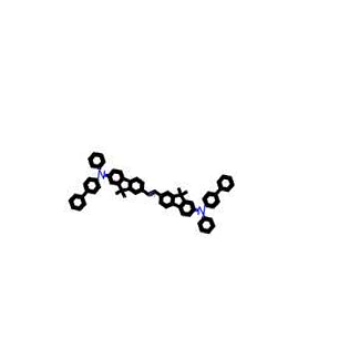 CC1(C)c2cc(/C=C/c3ccc4c(c3)C(C)(C)c3cc(N(c5ccccc5)c5ccc(-c6ccccc6)cc5)ccc3-4)ccc2-c2ccc(N(c3ccccc3)c3ccc(-c4ccccc4)cc3)cc21